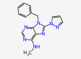 CNc1ncnc2c1nc(-n1cccn1)n2Cc1ccccc1